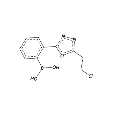 OB(O)c1ccccc1-c1nnc(CCCl)o1